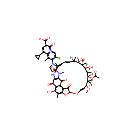 CO[C@H]1/C=C/O[C@@]2(C)Oc3c(C)c(O)c4c(c3C2=O)C(=O)C(N(C)C2CCN(c3c(F)cn5c(=O)c(C(=O)O)cc(C6CC6)c5c3C)C2)=C(NC(=O)/C(C)=C\C=C\[C@H](C)[C@H](O)[C@@H](C)[C@@H](O)[C@@H](C)[C@H](OC(C)=O)[C@@H]1C)C4=O